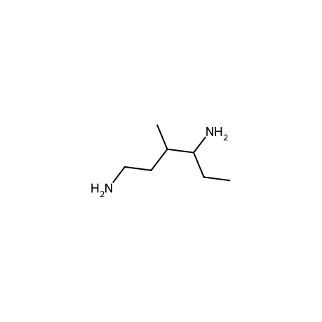 CCC(N)C(C)CCN